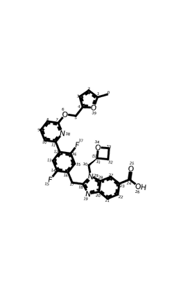 Cc1ccc(COc2cccc(-c3cc(F)c(Cc4nc5ccc(C(=O)O)cc5n4C[C@@H]4CCO4)cc3F)n2)o1